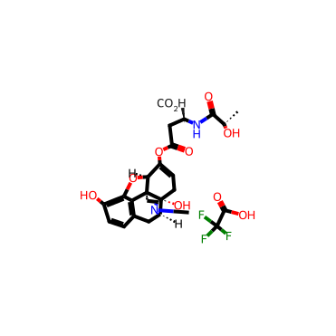 C[C@H](O)C(=O)N[C@@H](CC(=O)OC1=CC[C@@]2(O)[C@H]3Cc4ccc(O)c5c4[C@@]2(CCN3C)[C@H]1O5)C(=O)O.O=C(O)C(F)(F)F